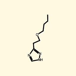 CCCCOCCc1nc[nH]n1